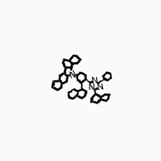 c1ccc(-c2nc(-c3ccc(-n4c5cc6ccccc6cc5c5ccc6ccccc6c54)cc3-c3cccc4ccccc34)nc(-c3cccc4ccccc34)n2)cc1